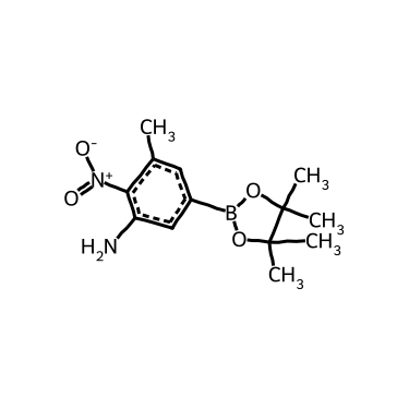 Cc1cc(B2OC(C)(C)C(C)(C)O2)cc(N)c1[N+](=O)[O-]